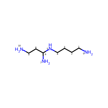 NCCCCNC(N)CCN